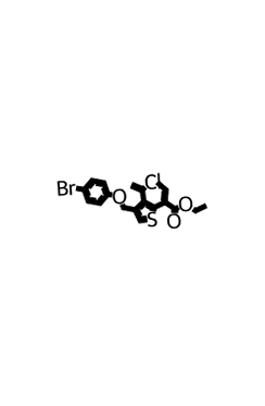 C=C(Cl)c1c(COc2ccc(Br)cc2)csc1/C(=C\C)C(=O)OCC